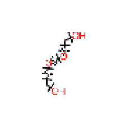 CC(C)(O)CC(C)(C)[Si](C)(C)OC(C)(C)[Si](C)(C)OC(C)(C)[Si](C)(C)C(C)(C)CC(C)(C)O